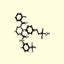 Cc1ccccc1C(=O)N1CCCC(C(=O)Nc2cccc(C(C)(C)C)c2)[C@@H]1c1ccc(CCC(C)(C)O)cc1